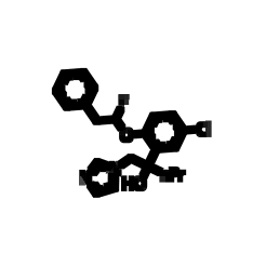 CCCC(O)(Cn1ccnc1)c1cc(Cl)ccc1OC(F)Cc1ccccc1